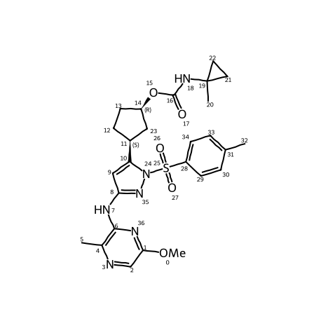 COc1cnc(C)c(Nc2cc([C@H]3CC[C@@H](OC(=O)NC4(C)CC4)C3)n(S(=O)(=O)c3ccc(C)cc3)n2)n1